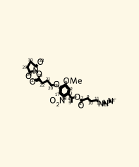 COc1cc(C(C)OC(=O)CCCN=[N+]=[N-])c([N+](=O)[O-])cc1OCCCC(=O)ON1C(=O)CCC1=O